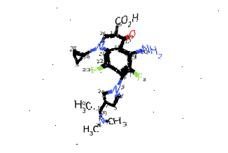 C[C@H](C1CCN(c2c(F)c(N)c3c(=O)c(C(=O)O)cn(C4CC4)c3c2F)C1)N(C)C